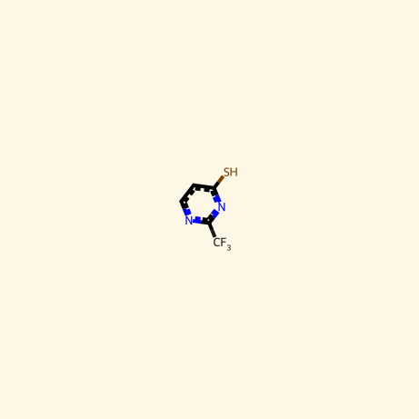 FC(F)(F)c1nccc(S)n1